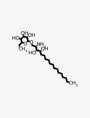 CCCCCCCCCCCCCC[C@@H](O)[C@@H](O)[C@@H](N)COC1OC(CC)C(O)C(O)C1O